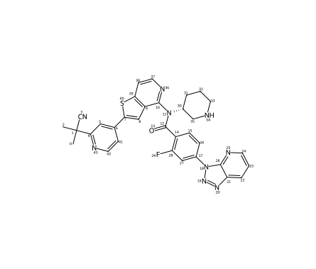 CC(C)(C#N)c1cc(-c2cc3c(N(C(=O)c4ccc(-n5nnc6cccnc65)cc4F)[C@@H]4CCCNC4)nccc3s2)ccn1